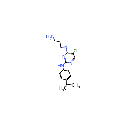 CC(C)c1ccc(Nc2ncc(Cl)c(NCCCN)n2)cc1